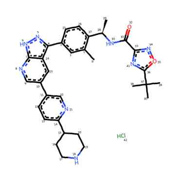 Cc1cc(-c2n[nH]c3ncc(-c4ccc(C5CCNCC5)nc4)cc23)ccc1[C@@H](C)NC(=O)c1noc(C(C)(C)C)n1.Cl